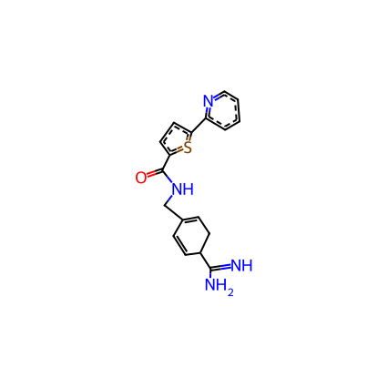 N=C(N)C1C=CC(CNC(=O)c2ccc(-c3ccccn3)s2)=CC1